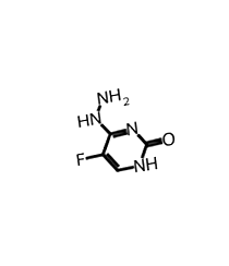 NNc1nc(=O)[nH]cc1F